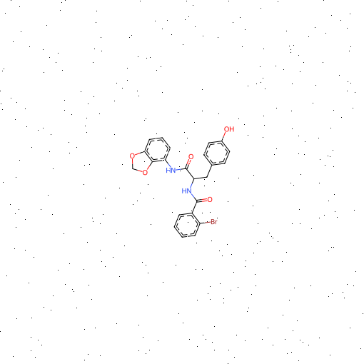 O=C(NC(Cc1ccc(O)cc1)C(=O)Nc1cccc2c1OCO2)c1ccccc1Br